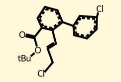 CC(C)(C)OC(=O)c1cccc(-c2cccc(Cl)c2)c1C=CCCl